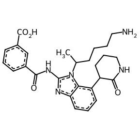 CC(CCCCN)n1c(NC(=O)c2cccc(C(=O)O)c2)nc2cccc(C3CCCNC3=O)c21